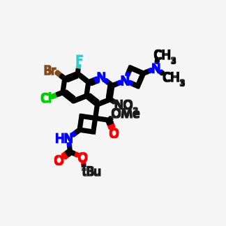 COC(=O)C1(c2c([N+](=O)[O-])c(N3CC(N(C)C)C3)nc3c(F)c(Br)c(Cl)cc23)CC(NC(=O)OC(C)(C)C)C1